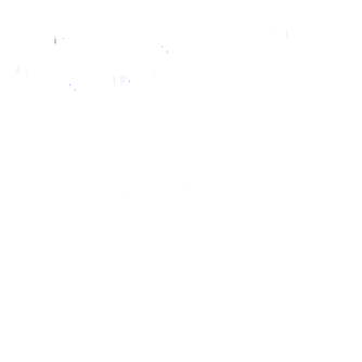 CCC(CC(=O)OCOC(=O)OCCCCO)c1ccc(N(CC(C)C)CC(C)C)c(NC(=O)Nc2ccc(C)cc2)c1